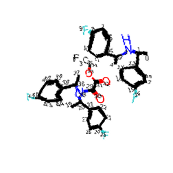 CC(NC(C)c1ccc(F)cc1)c1ccc(F)cc1.CC(c1ccc(F)cc1)N(C(=O)C(=O)OCC(F)(F)F)C(C)c1ccc(F)cc1